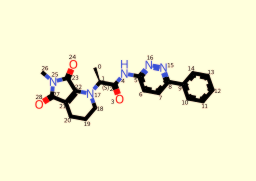 C[C@@H](C(=O)Nc1ccc(-c2ccccc2)nn1)N1CCCC2=C1C(=O)N(C)C2=O